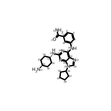 NC(=O)c1cccc(Nc2nc(N[C@H]3CC[C@H](N)CC3)nc3c2ncn3C2CCCC2)c1